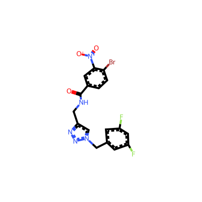 O=C(NCc1cn(Cc2cc(F)cc(F)c2)nn1)c1ccc(Br)c([N+](=O)[O-])c1